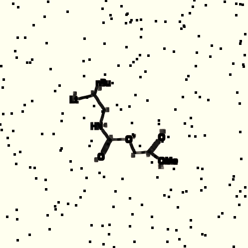 CCCCC(CC)CNC(=O)OCC(=O)OC